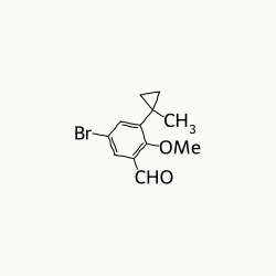 COc1c(C=O)cc(Br)cc1C1(C)CC1